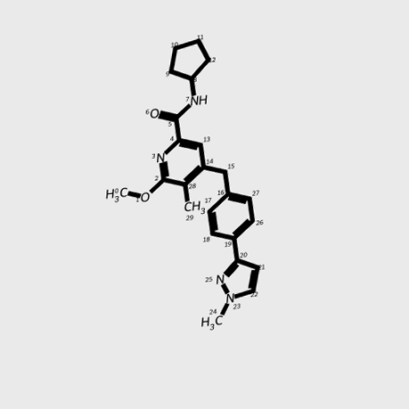 COc1nc(C(=O)NC2CCCC2)cc(Cc2ccc(-c3ccn(C)n3)cc2)c1C